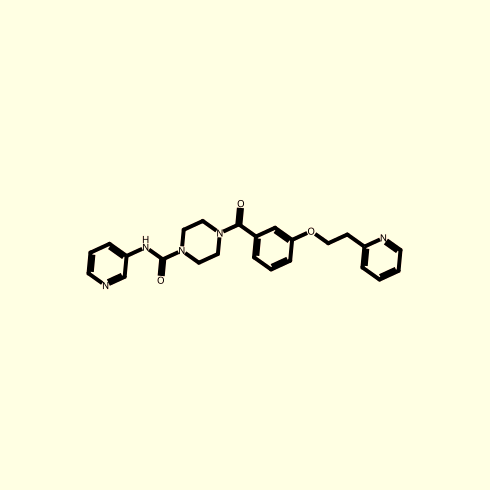 O=C(Nc1cccnc1)N1CCN(C(=O)c2cccc(OCCc3ccccn3)c2)CC1